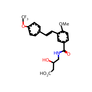 COc1ccc(C(=O)NCC(O)CC(=O)O)cc1/C=C/c1ccc(OC(F)(F)F)cc1